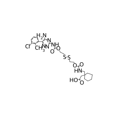 Cc1c(Cl)cccc1-c1nnc(NC(=O)OCCSSCCOC(=O)NCC2(CC(=O)O)CCCCC2)nc1N